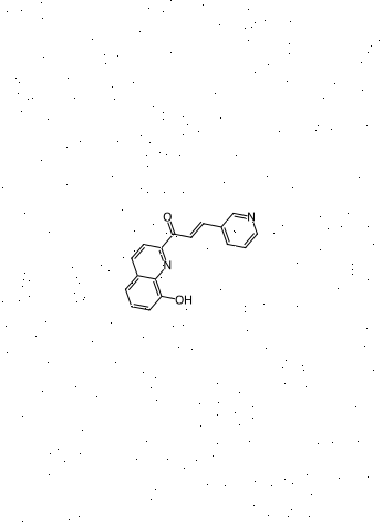 O=C(C=Cc1cccnc1)c1ccc2cccc(O)c2n1